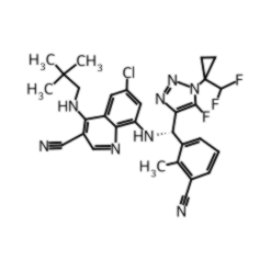 Cc1c(C#N)cccc1[C@H](Nc1cc(Cl)cc2c(NCC(C)(C)C)c(C#N)cnc12)c1nnn(C2(C(F)F)CC2)c1F